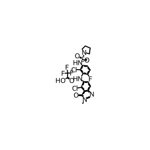 Cn1cnc2ccc(Nc3c(F)ccc(NS(=O)(=O)N4CCCC4)c3Cl)c(Cl)c2c1=O.O=C(O)C(F)(F)F